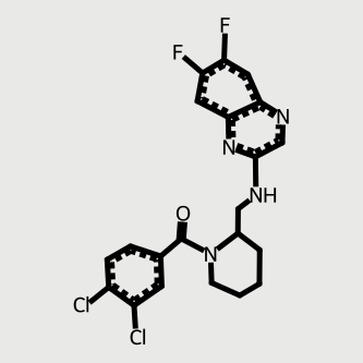 O=C(c1ccc(Cl)c(Cl)c1)N1CCCCC1CNc1cnc2cc(F)c(F)cc2n1